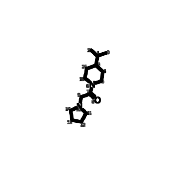 CC(C)C1CCN(C(=O)CN2CCCC2)CC1